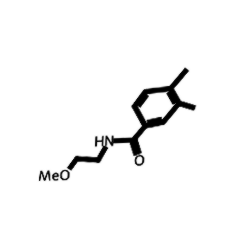 COCCNC(=O)c1ccc(C)c(C)c1